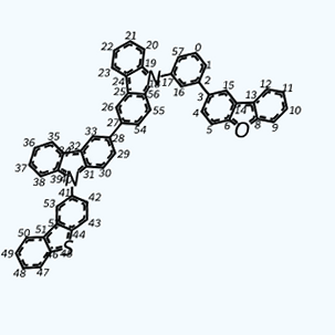 c1cc(-c2ccc3oc4ccccc4c3c2)cc(-n2c3ccccc3c3cc(-c4ccc5c(c4)c4ccccc4n5-c4ccc5sc6ccccc6c5c4)ccc32)c1